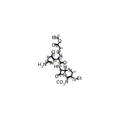 CCSC1=C(C(=O)O)N2C(=O)C(NC(=O)/C(=N/OCC(=O)OC(C)(C)C)c3nc(N)sc3Cl)[C@H]2SC1